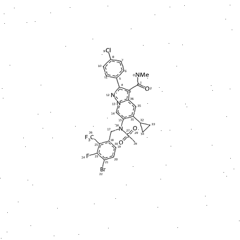 CNC(=O)c1c(-c2ccc(Cl)cc2)nn2cc(N(Cc3ccc(Br)c(F)c3C(F)(F)F)S(C)(=O)=O)c(C3CC3)cc12